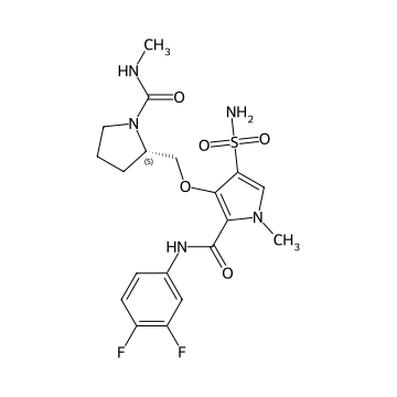 CNC(=O)N1CCC[C@H]1COc1c(S(N)(=O)=O)cn(C)c1C(=O)Nc1ccc(F)c(F)c1